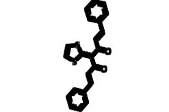 O=C(C=Cc1ccccc1)C(C(=O)C=Cc1ccccc1)=C1SC=CS1